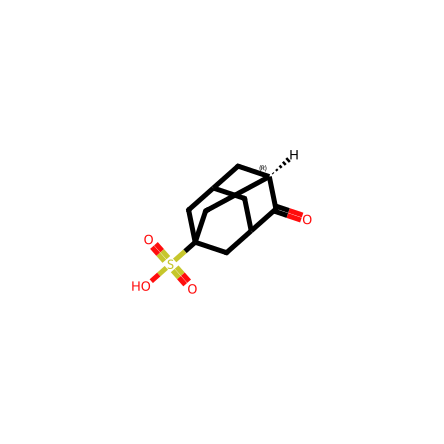 O=C1C2CC3C[C@@H]1CC(S(=O)(=O)O)(C3)C2